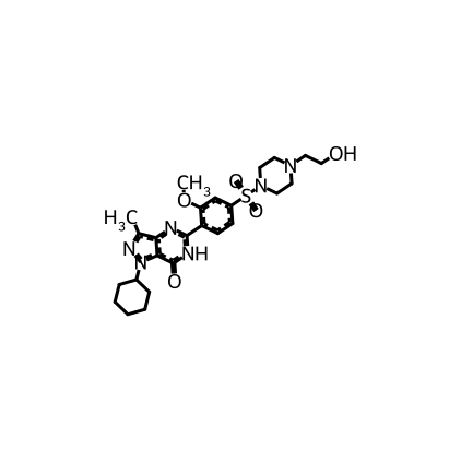 COc1cc(S(=O)(=O)N2CCN(CCO)CC2)ccc1-c1nc2c(C)nn(C3CCCCC3)c2c(=O)[nH]1